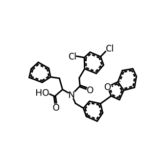 O=C(O)C(Cc1ccccc1)N(Cc1cccc(-c2cc3ccccc3o2)c1)C(=O)Cc1ccc(Cl)cc1Cl